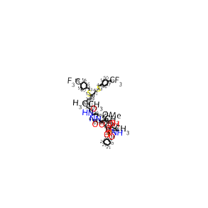 COCC1(C)C(O)[C@@H](COP(=O)(N[C@@H](C)C(=O)OC(C)C)Oc2ccccc2)O[C@H]1n1ccc(NC(=O)CC(C)(C)CC[C@H](CCSCc2ccc(C(F)(F)F)cc2)SCc2ccc(C(F)(F)F)cc2)nc1=O